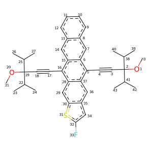 COC(C#Cc1c2cc3ccccc3cc2c(C#CC(OC)(C(C)C)C(C)C)c2cc3sc(F)cc3cc12)(C(C)C)C(C)C